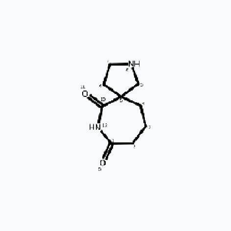 O=C1CCCC2(CCNC2)C(=O)N1